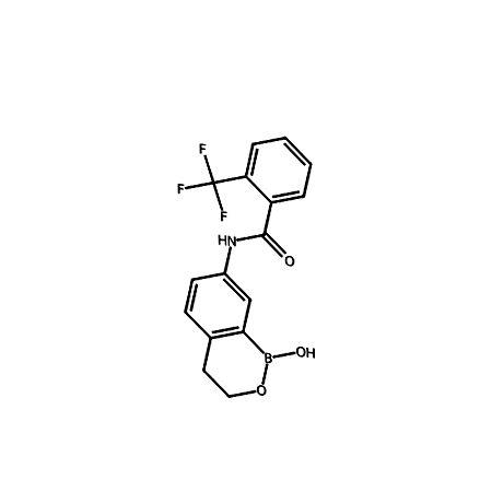 O=C(Nc1ccc2c(c1)B(O)OCC2)c1ccccc1C(F)(F)F